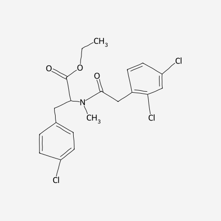 CCOC(=O)C(Cc1ccc(Cl)cc1)N(C)C(=O)Cc1ccc(Cl)cc1Cl